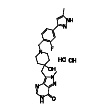 Cc1cc(-c2ccc(CN3CCC(O)(Cc4c5nc[nH]c(=O)c5nn4C)CC3)c(F)c2)n[nH]1.Cl.Cl